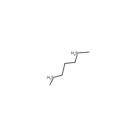 C[SiH2]CCC[SiH2]C